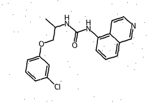 CC(COc1cccc(Cl)c1)NC(=O)Nc1cccc2cnccc12